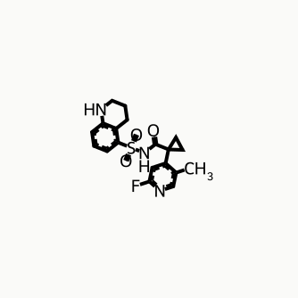 Cc1cnc(F)cc1C1(C(=O)NS(=O)(=O)c2cccc3c2CCCN3)CC1